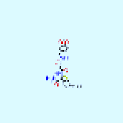 CC(C)(C)C1CCc2c(sc(NC(=O)CCC(=O)NCc3ccc4c(c3)OCO4)c2C(N)=O)C1